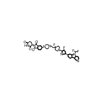 O=C1CCC(N2C(=O)c3ccc(N4CCN(CCC5(F)CCN(c6ncc(-c7ccc8c9cnccc9n(C(F)F)c8c7)cc6F)CC5)CC4)cc3C2=O)C(=O)N1